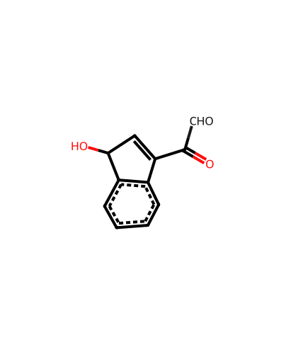 O=CC(=O)C1=CC(O)c2ccccc21